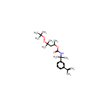 C=C(C)c1cccc(C(C)(C)NC(=O)OC(C)CC(C)(C)OOC(C)(C)C)c1